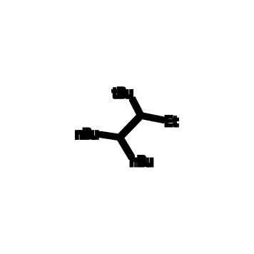 CCCCC(CCCC)C(CC)C(C)(C)C